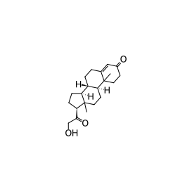 CC12CCC(=O)C=C1CC[C@@H]1[C@@H]2CCC2(C)[C@@H](C(=O)CO)CC[C@@H]12